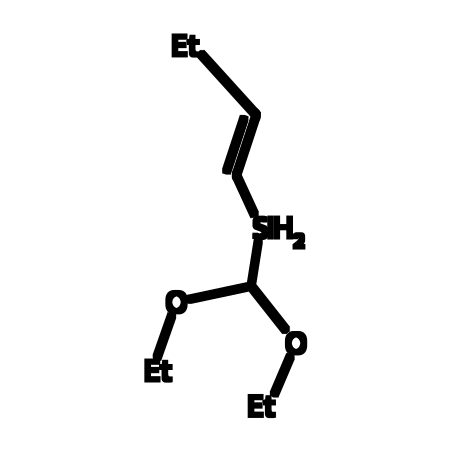 CCC=C[SiH2]C(OCC)OCC